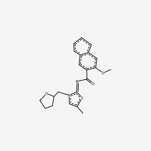 COc1cc2ccccc2cc1C(=O)/N=c1\sc(C)cn1CC1CCCO1